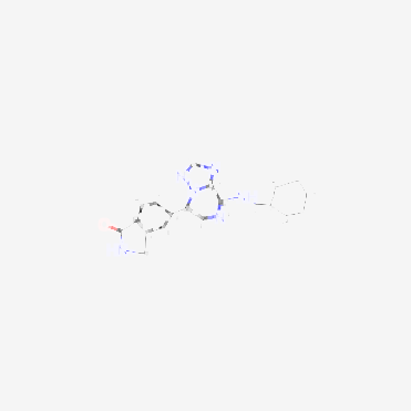 O=C1NCc2cc(-c3cnc(NCC4CCCCC4)c4ncnn34)ccc21